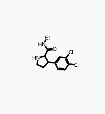 CCNC(=O)C1NCCC1c1ccc(Cl)c(Cl)c1